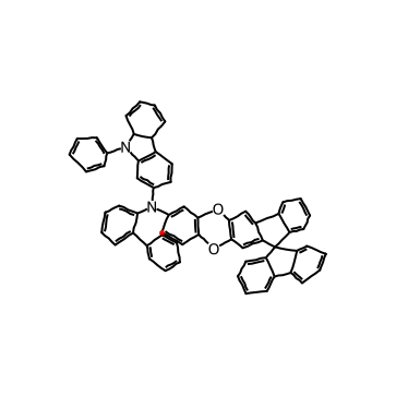 C1=CC2c3ccc(N(c4ccc5c(c4)Oc4cc6c(cc4O5)C4(c5ccccc5-c5ccccc54)c4ccccc4-6)c4ccccc4-c4ccccc4)cc3N(c3ccccc3)C2C=C1